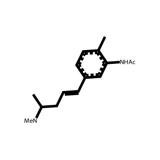 CNC(C)CC=Cc1ccc(C)c(NC(C)=O)c1